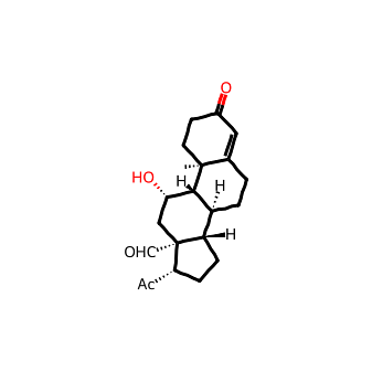 CC(=O)[C@H]1CC[C@H]2[C@@H]3CCC4=CC(=O)CC[C@]4(C)[C@H]3[C@@H](O)C[C@]12C=O